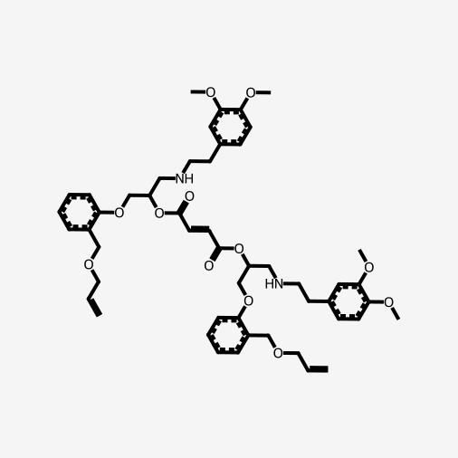 C=CCOCc1ccccc1OCC(CNCCc1ccc(OC)c(OC)c1)OC(=O)/C=C/C(=O)OC(CNCCc1ccc(OC)c(OC)c1)COc1ccccc1COCC=C